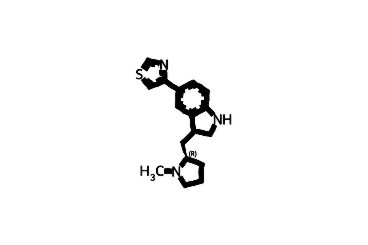 CN1CCC[C@@H]1CC1CNc2ccc(-c3cscn3)cc21